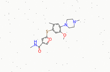 CNC(=O)c1coc(Sc2cc(OC)c(N3CCN(C)CC3)cc2C)c1